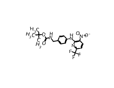 CC(C)(C)OC(=O)NCc1ccc(Nc2nc(C(F)(F)F)ccc2[N+](=O)[O-])cc1